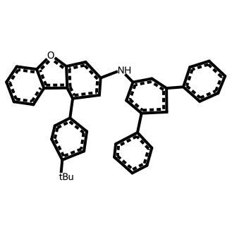 CC(C)(C)c1ccc(-c2cc(Nc3cc(-c4ccccc4)cc(-c4ccccc4)c3)cc3oc4ccccc4c23)cc1